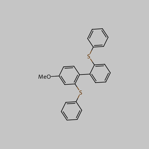 COc1ccc(-c2ccccc2Sc2ccccc2)c(Sc2ccccc2)c1